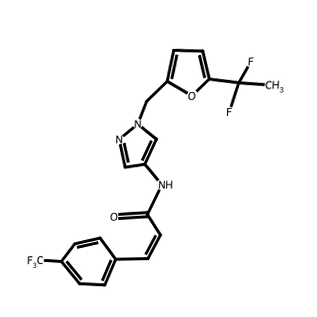 CC(F)(F)c1ccc(Cn2cc(NC(=O)/C=C\c3ccc(C(F)(F)F)cc3)cn2)o1